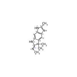 C/N=C1/Nc2cc3[nH]c(C)nc3cc2C1(C)C